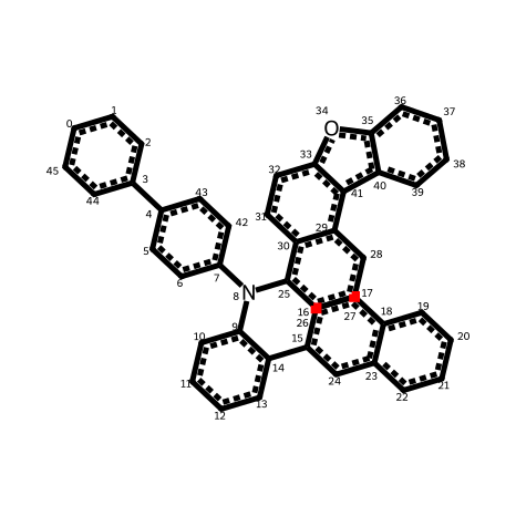 c1ccc(-c2ccc(N(c3ccccc3-c3ccc4ccccc4c3)c3cccc4c3ccc3oc5ccccc5c34)cc2)cc1